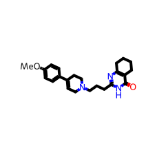 COc1ccc(C2=CCN(CCCc3nc4c(c(=O)[nH]3)CCCC4)CC2)cc1